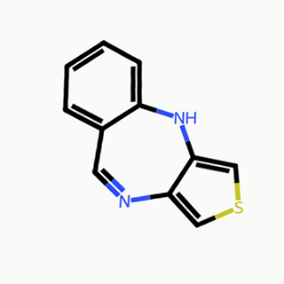 C1=Nc2cscc2Nc2ccccc21